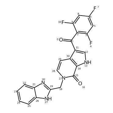 O=C(c1c(F)cc(F)cc1F)c1c[nH]c2c(=O)n(Cc3nc4ccccc4[nH]3)ccc12